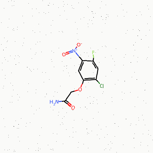 NC(=O)COc1cc([N+](=O)[O-])c(F)cc1Cl